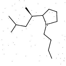 CCCCN1CCCC1[C@H](C)CC(C)C